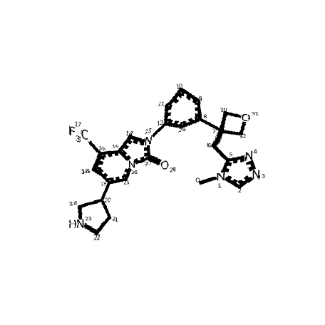 Cn1cnnc1CC1(c2cccc(-n3cc4c(C(F)(F)F)cc(C5CCNC5)cn4c3=O)c2)COC1